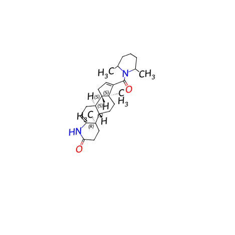 CC1CCCC(C)N1C(=O)C1=CC[C@H]2[C@@H]3CC=C4NC(=O)CC[C@]4(C)[C@H]3CC[C@]12C